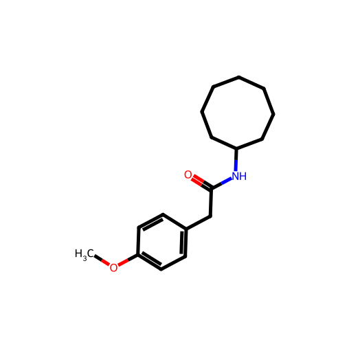 COc1ccc(CC(=O)NC2CCCCCCC2)cc1